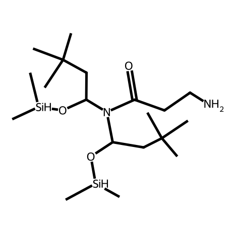 C[SiH](C)OC(CC(C)(C)C)N(C(=O)CCN)C(CC(C)(C)C)O[SiH](C)C